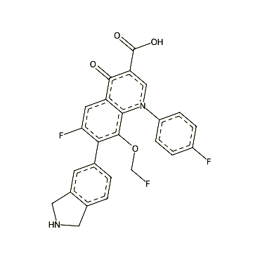 O=C(O)c1cn(-c2ccc(F)cc2)c2c(OCF)c(-c3ccc4c(c3)CNC4)c(F)cc2c1=O